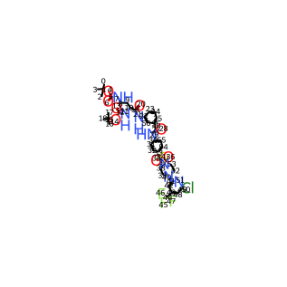 CC(C)(C)OC(=O)NCCC(NC(=O)OC(C)(C)C)C(=O)Nc1cccc(C(=O)Nc2ccc(S(=O)(=O)N3CCN(c4cc(C(F)(F)F)cc(Cl)n4)CC3)cc2)c1